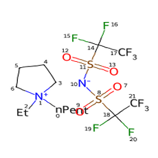 CCCCC[N+]1(CC)CCCC1.O=S(=O)([N-]S(=O)(=O)C(F)(F)C(F)(F)F)C(F)(F)C(F)(F)F